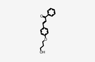 O=C(/C=C/c1ccc(OCCCO)cc1)c1ccccc1